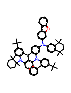 Cc1cc2c3c(c1)N1c4c(cc(C(C)(C)C)cc4C4(C)CCCCC14C)B3c1ccc(N(c3ccc4c(c3)C(C)(C)CCC4(C)C)c3ccc4c(c3)oc3ccccc34)cc1N2c1ccc(C(C)(C)C)cc1-c1ccccc1